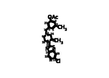 CC(=O)Oc1cc(C)cc(CN2CCN(c3nc4ccc(Cl)cc4s3)C(C)C2)c1